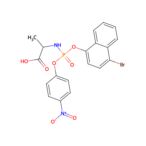 CC(NP(=O)(Oc1ccc([N+](=O)[O-])cc1)Oc1ccc(Br)c2ccccc12)C(=O)O